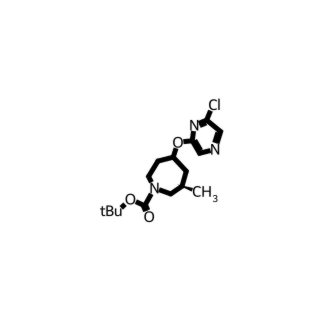 C[C@@H]1CC(Oc2cncc(Cl)n2)CCN(C(=O)OC(C)(C)C)C1